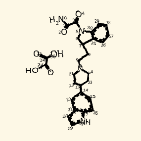 NC(=O)C(=O)N1CC(CCN2CCC(c3ccc4[nH]ccc4c3)CC2)c2ccccc21.O=C(O)C(=O)O